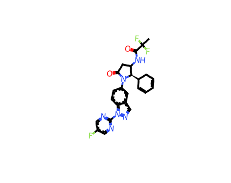 CC(F)(F)C(=O)NC1CC(=O)N(c2ccc3c(cnn3-c3ncc(F)cn3)c2)[C@@H]1C1C=CC=CC1